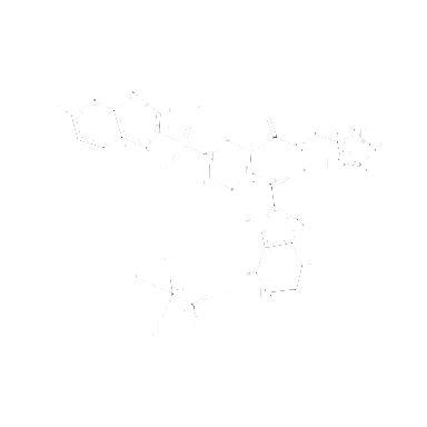 O=C(NCc1nnn[nH]1)C1CN(S(=O)(=O)c2ccc3cc(Cl)ccc3c2)CCN1C(=O)c1nc2c(s1)CNCC2.O=C(O)C(F)(F)F